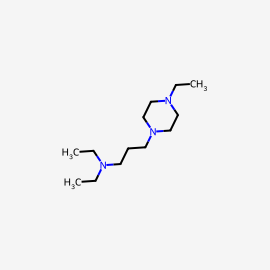 CCN(CC)CCCN1CCN(CC)CC1